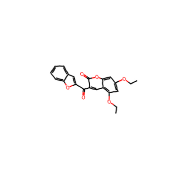 CCOc1cc(OCC)c2cc(C(=O)c3cc4ccccc4o3)c(=O)oc2c1